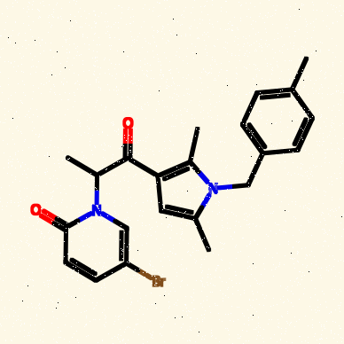 Cc1ccc(Cn2c(C)cc(C(=O)C(C)n3cc(Br)ccc3=O)c2C)cc1